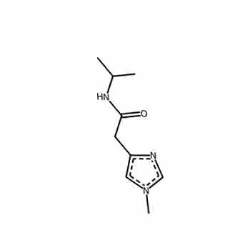 CC(C)NC(=O)Cc1cn(C)cn1